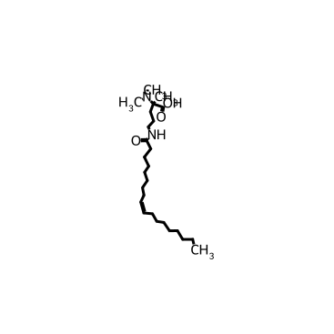 CCCCCCCC/C=C\CCCCCCCC(=O)NCCCC(C)(C(=O)O)N(C)C